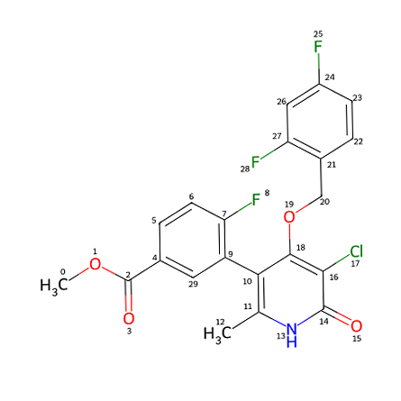 COC(=O)c1ccc(F)c(-c2c(C)[nH]c(=O)c(Cl)c2OCc2ccc(F)cc2F)c1